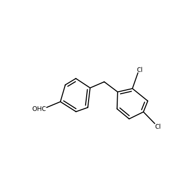 O=Cc1ccc(Cc2ccc(Cl)cc2Cl)cc1